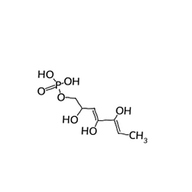 C/C=C(O)/C(O)=C/C(O)COP(=O)(O)O